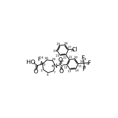 O=C(O)[C@@]1(F)CCCN(S(=O)(=O)c2ccc(C(F)(F)F)cc2-c2ccccc2Cl)CC1